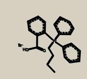 CCCC[P+](c1ccccc1)(c1ccccc1)c1ccccc1C(=O)O.[Br-]